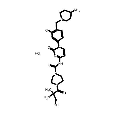 CC(N)(CO)C(=O)N1CCN(C(=O)Nc2ccn(-c3ccc(CN4CCC(N)CC4)c(Cl)c3)c(=O)n2)CC1.Cl